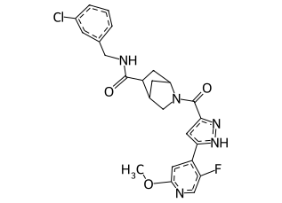 COc1cc(-c2cc(C(=O)N3CC4CC3CC4C(=O)NCc3cccc(Cl)c3)n[nH]2)c(F)cn1